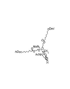 CCCCCCCCCCCCCCCCCC(=O)OCCCOC(CNC)C(CN(C)C(=O)C(Cc1c[nH]cn1)NC(C)=O)OCCCOC(=O)CCCCCCCCCCCCCCCCC